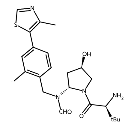 [CH2]c1cc(-c2scnc2C)ccc1CN(C=O)[C@@H]1C[C@@H](O)CN1C(=O)[C@@H](N)C(C)(C)C